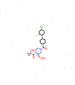 O=C(c1ccc(-c2ccc(Cl)cc2F)cc1)N1CCN(C(=O)C2(O)CC2)[C@H](CO)C1